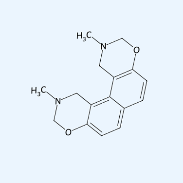 CN1COc2ccc3ccc4c(c3c2C1)CN(C)CO4